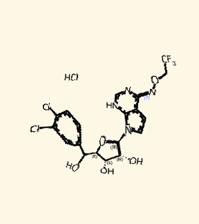 Cl.OC(c1ccc(Cl)c(Cl)c1)[C@H]1O[C@@H](n2ccc3/c(=N/OCC(F)(F)F)nc[nH]c32)[C@H](O)[C@@H]1O